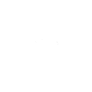 Clc1cccc2s[c]nc12